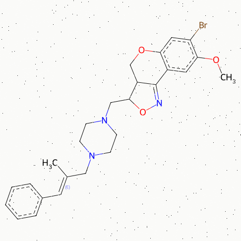 COc1cc2c(cc1Br)OCC1C2=NOC1CN1CCN(C/C(C)=C/c2ccccc2)CC1